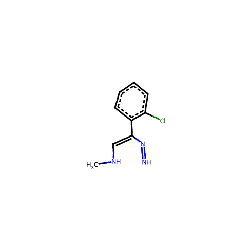 CN/C=C(\N=N)c1ccccc1Cl